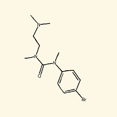 CN(C)CCN(C)C(=O)N(C)c1ccc(Br)cc1